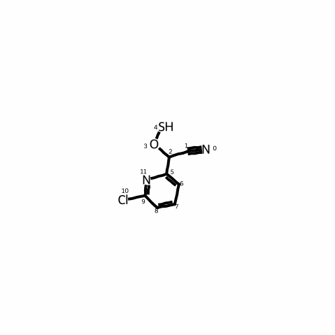 N#CC(OS)c1cccc(Cl)n1